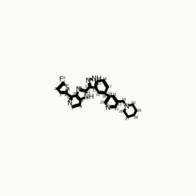 Fc1ccc(-c2nccc3[nH]c(-c4n[nH]c5ccc(-c6cncc(CN7CCCCC7)c6)cc45)nc23)s1